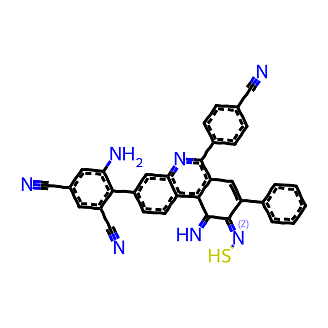 N#Cc1ccc(-c2nc3cc(-c4c(N)cc(C#N)cc4C#N)ccc3c3c2C=C(c2ccccc2)/C(=N/S)C3=N)cc1